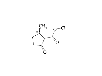 C[C@@H]1CCC(=O)C1C(=O)OCl